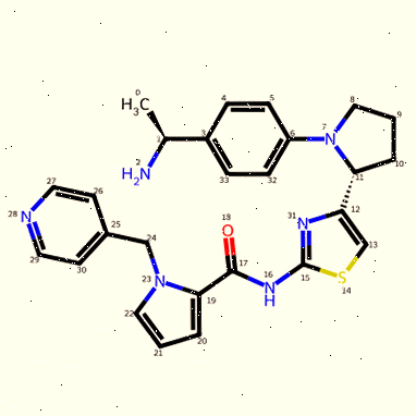 C[C@H](N)c1ccc(N2CCC[C@@H]2c2csc(NC(=O)c3cccn3Cc3ccncc3)n2)cc1